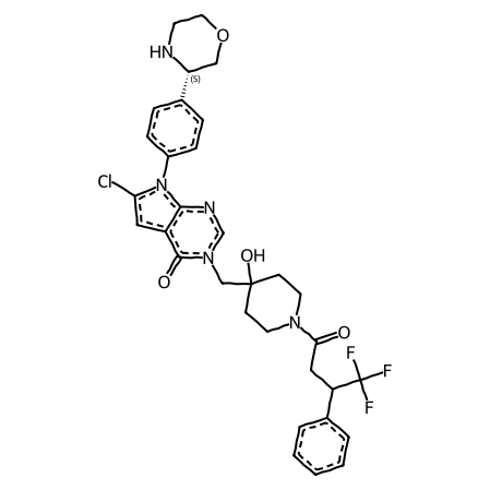 O=C(CC(c1ccccc1)C(F)(F)F)N1CCC(O)(Cn2cnc3c(cc(Cl)n3-c3ccc([C@H]4COCCN4)cc3)c2=O)CC1